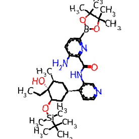 CC[C@@]1(O)[C@@H](C)C[C@@H](c2ccncc2NC(=O)c2nc(B3OC(C)(C)C(C)(C)O3)ccc2N)C[C@H]1O[Si](C)(C)C(C)(C)C